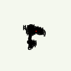 CCC(C)C(C(CC(=O)N1CCCC1C(OC)C(C)C(=O)N[C@@H](C)[C@H](O)c1ccccc1)OC)N(C)C(=O)C(NC(=O)C(C(C)C)N(C)C(=O)COCCOCCOCCOCCNC(=O)c1ccc(NC(=O)CCl)c(NC(=O)CCl)c1)C(C)C